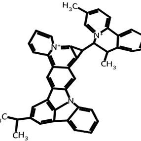 Cc1ccc2[n+](c1)C(C1c3c1[n+]1ccccc1c1cc4c5cc(C(C)C)cc6c7ccccc7n(c4cc31)c65)C(C)c1ccccc1-2